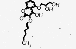 CCCC/C=C/Oc1c(O)c2c(OCC(O)CO)cccc2oc1=O